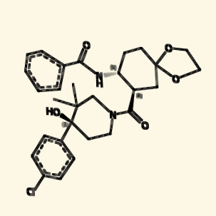 CC1(C)CN(C(=O)[C@@H]2CC3(CC[C@H]2NC(=O)c2ccccc2)OCCO3)CC[C@]1(O)c1ccc(Cl)cc1